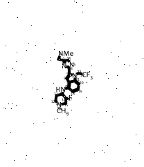 CNCC1=NC(c2cc3c(NC4CCN(C)CC4F)cccc3n2CC(F)(F)F)=NC1